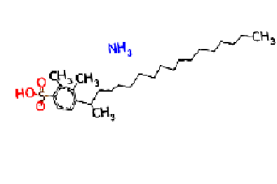 CCCCCCCCCCCCCCCCC(C)c1ccc(S(=O)(=O)O)c(C)c1C.N